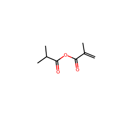 C=C(C)C(=O)OC(=O)C(C)C